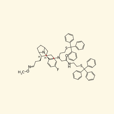 CON=CCC[C@H]1C2CCC(C[C@H]1c1ccc(F)cc1)N2CCCN(CCSC(c1ccccc1)(c1ccccc1)c1ccccc1)CC(=O)NCCSC(c1ccccc1)(c1ccccc1)c1ccccc1